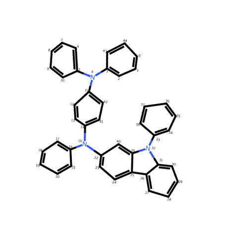 c1ccc(N(c2ccccc2)c2ccc(N(c3ccccc3)c3ccc4c5ccccc5n(-c5ccccc5)c4c3)cc2)cc1